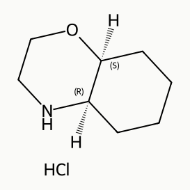 C1CC[C@H]2NCCO[C@H]2C1.Cl